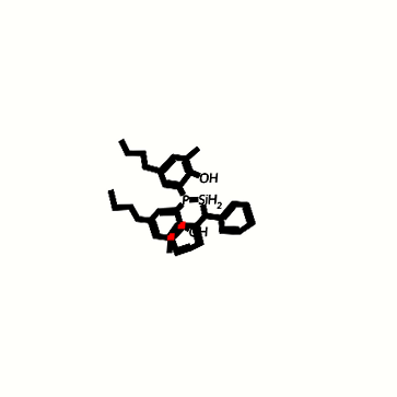 CCCCc1cc(C)c(O)c(P([SiH2]C(c2ccccc2)c2ccccc2)c2cc(CCCC)cc(C)c2O)c1